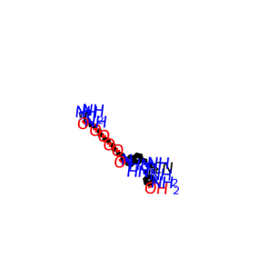 N#C/C(N)=C(\C(=N)NCc1ccc2c(c1)CCN(C(=O)CCOCCOCCOCCOCCNC(=O)/C(C=N)=C/N)C2)C(=N)c1ccc(O)c(N)c1